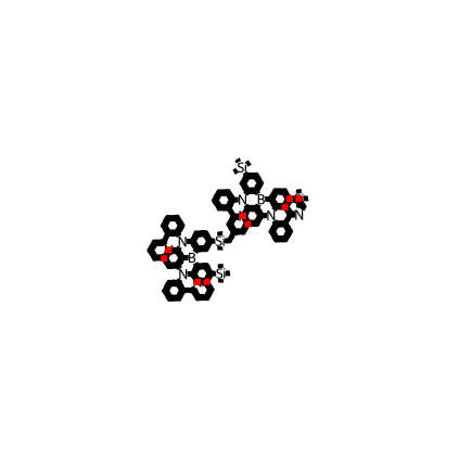 C[Si](C)(C)c1ccc2c(c1)B1c3cc([Si](C)(C)Cc4ccnc(-c5ccccc5N5c6cc([Si](C)(C)C)ccc6B6c7ccc([Si](C)(C)C)cc7N(c7ccccc7-c7ccccn7)c7cccc5c76)c4)ccc3N(c3ccccc3-c3ccccn3)c3cccc(c31)N2c1ccccc1-c1ccccn1